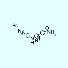 CC(C)CCN1CCN(c2ccc(Nc3ccc(-c4ccc(C(N)=O)cc4)n4ccnc34)cc2)CC1